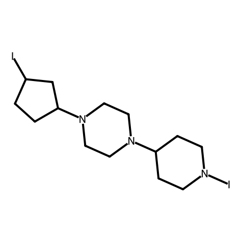 IC1CCC(N2CCN(C3CCN(I)CC3)CC2)C1